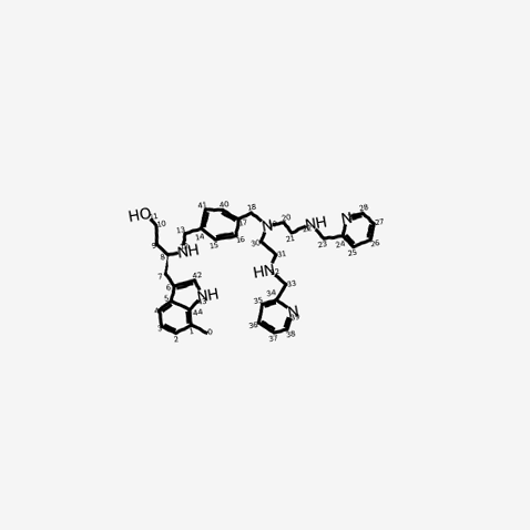 Cc1cccc2c(C[C@@H](CCO)NCc3ccc(CN(CCNCc4ccccn4)CCNCc4ccccn4)cc3)c[nH]c12